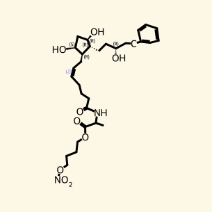 CC(NC(=O)CCC/C=C\C[C@@H]1[C@@H](CC[C@@H](O)CCc2ccccc2)[C@H](O)C[C@@H]1O)C(=O)OCCCCO[N+](=O)[O-]